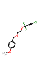 COc1ccc(COCCOC(F)(F)C#CCl)cc1